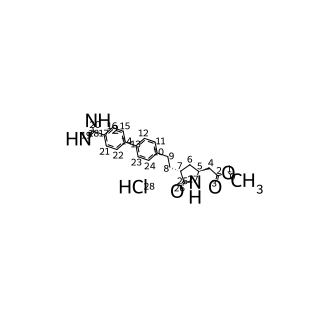 COC(=O)C[C@@H]1C[C@@H](CCc2ccc(-c3ccc(C(=N)N)cc3)cc2)C(=O)N1.Cl